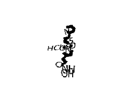 Cl.O=C(/C=C/c1ccn(S(=O)(=O)c2ccc(-c3ccccn3)s2)c1)NO